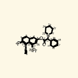 C#Cc1c(F)ccc2cc(OC(=O)C(c3ccccc3)N3CCCCC3)cc(C(C)C)c12